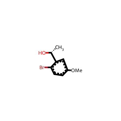 COc1ccc(Br)c([C@@H](C)O)c1